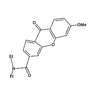 CCN(CC)C(=O)c1ccc2c(=O)c3ccc(OC)cc3oc2c1